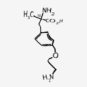 C[C@](N)(Cc1ccc(OCCN)cc1)C(=O)O